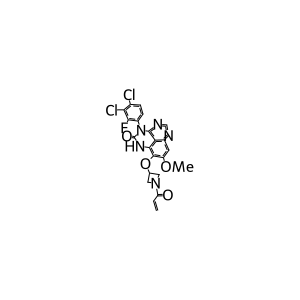 C=CC(=O)N1CC(Oc2c(OC)cc3ncnc4c3c2NC(=O)N4c2ccc(Cl)c(Cl)c2F)C1